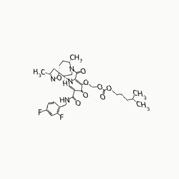 CC1=NO[C@@]2(CC[C@H](C)N3C[C@H]2n2cc(C(=O)NCc4ccc(F)cc4F)c(=O)c(OCOC(=O)OCCCC(C)C)c2C3=O)C1